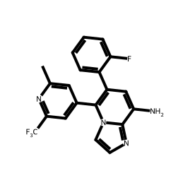 Cc1cc(-c2c(-c3ccccc3F)cc(N)c3nccn23)cc(C(F)(F)F)n1